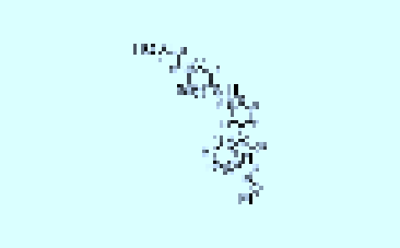 CCOCCn1c(C)c(-c2cccc(CNc3ccc(CCC(=O)O)c(F)c3)c2)c2ccccc21